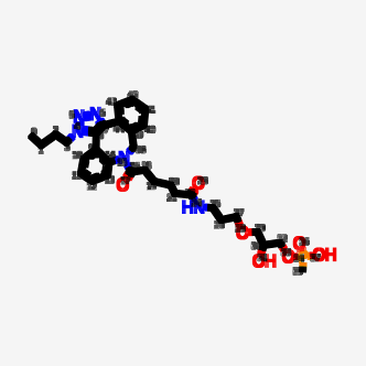 CCCCn1nnc2c1-c1ccccc1N(C(=O)CCCCC(=O)NCCCOCC(O)COP(C)(=O)O)Cc1ccccc1-2